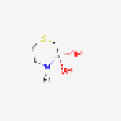 [CH2]CN1CCSCC1(O)O